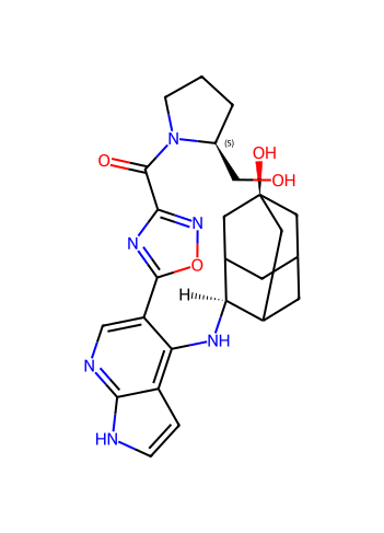 O=C(c1noc(-c2cnc3[nH]ccc3c2N[C@H]2C3CC4CC2C[C@@](O)(C4)C3)n1)N1CCC[C@H]1CO